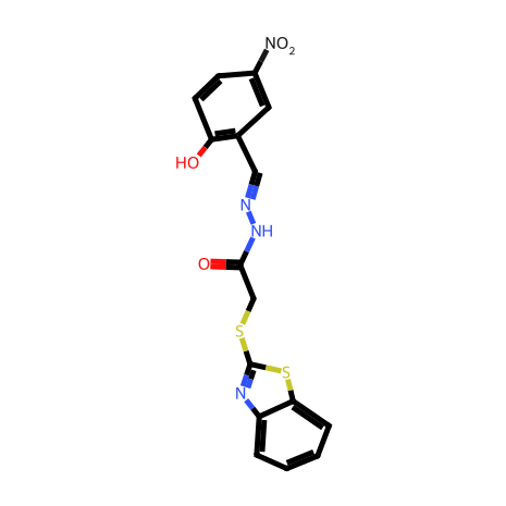 O=C(CSc1nc2ccccc2s1)NN=Cc1cc([N+](=O)[O-])ccc1O